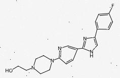 OCCN1CCN(c2ccc(-c3nc(-c4ccc(F)cc4)c[nH]3)cn2)CC1